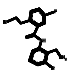 NCc1c(Br)cccc1NC(=O)c1cc(F)ccc1CCBr